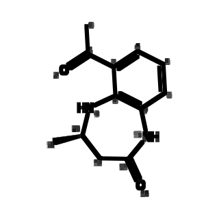 CC(=O)c1cccc2c1N[C@H](C)CC(=O)N2